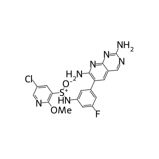 COc1ncc(Cl)cc1[S+]([O-])Nc1cc(F)cc(-c2cc3cnc(N)nc3nc2N)c1